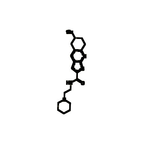 CC(C)(C)C1CCc2nc3sc(C(=O)NCCN4CCCCC4)cc3cc2C1